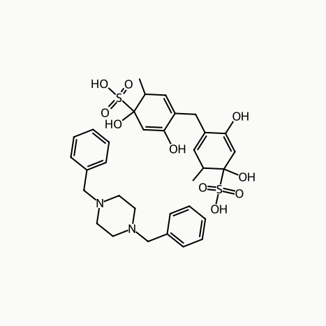 CC1C=C(CC2=CC(C)C(O)(S(=O)(=O)O)C=C2O)C(O)=CC1(O)S(=O)(=O)O.c1ccc(CN2CCN(Cc3ccccc3)CC2)cc1